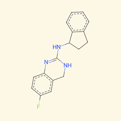 Fc1ccc2c(c1)CNC(NC1CCc3ccccc31)=N2